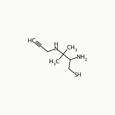 C#CCNC(C)(C)C(N)CS